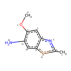 COc1cc2nc(C)sc2cc1N